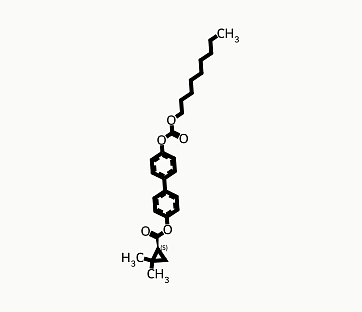 CCCCCCCCCOC(=O)Oc1ccc(-c2ccc(OC(=O)[C@H]3CC3(C)C)cc2)cc1